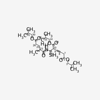 CC(C)COC(=O)CC#CC(C(=O)OCC(C)C)C([SiH3])NC(=O)[C@@H](C)CCC(=O)OCC(C)C